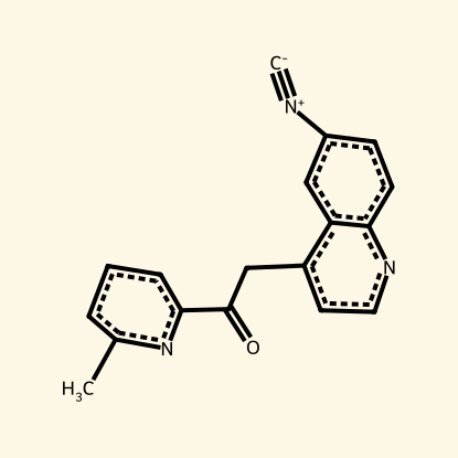 [C-]#[N+]c1ccc2nccc(CC(=O)c3cccc(C)n3)c2c1